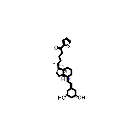 C[C@H](CCCC(=O)c1cccs1)[C@H]1CC[C@H]2/C(=C/C=C3C[C@@H](O)C[C@H](O)C3)CCC[C@]12C